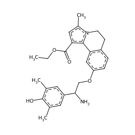 CCOC(=O)c1cc(C)n2c1-c1cc(OCC(N)c3cc(C)c(O)c(C)c3)ccc1CC2